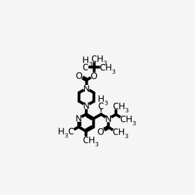 CC(=O)N(C(C)C)[C@@H](C)c1cc(C)c(C)nc1N1CCN(C(=O)OC(C)(C)C)CC1